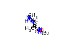 Cc1cc(-c2ncnc(Nc3cnn(C)c3)n2)c(F)cc1CNC(=O)c1noc(C(C)(C)C)n1